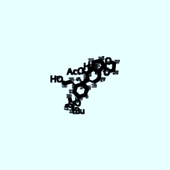 CC(=O)O[C@@H]1[C@@H]([C@@]2(C)CC[C@H](O[Si](C)(C)C(C)(C)C)C[C@@H]2CCO)CC[C@@]2(C)[C@H]1CCC21OCCO1